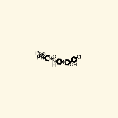 CC(C)S(=O)(=O)NC1CCN(C(=O)Nc2ccc(N3CCC(O)(c4ccc(Cl)cc4)CC3)cc2)CC1